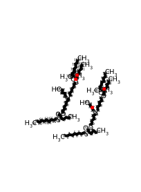 CCCCCCCCCCSC(CCCC)C(=O)OCCCCCCN(CCCCO)CCCCCCOC(CCCCCCC)O[Si](C)(C)CCCCCCCC.CCCCCCCCCCSC(CCCC)C(=O)OCCCCCCN(CCCCO)CCCCCCOC(CCCCCCC)O[Si](C)(C)CCCCCCCC